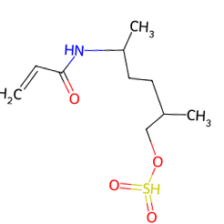 C=CC(=O)NC(C)CCC(C)CO[SH](=O)=O